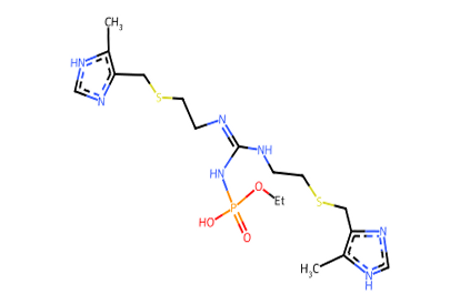 CCOP(=O)(O)N/C(=N\CCSCc1nc[nH]c1C)NCCSCc1nc[nH]c1C